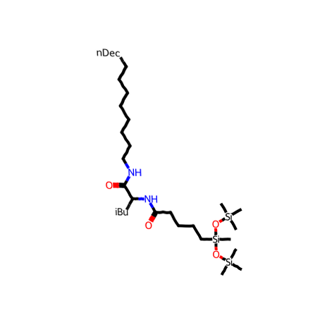 CCCCCCCCCCCCCCCCCCNC(=O)C(NC(=O)CCCC[Si](C)(O[Si](C)(C)C)O[Si](C)(C)C)C(C)CC